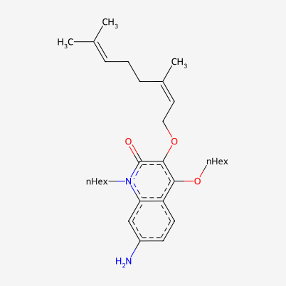 CCCCCCOc1c(OCC=C(C)CCC=C(C)C)c(=O)n(CCCCCC)c2cc(N)ccc12